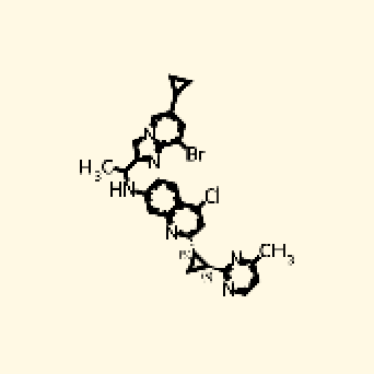 Cc1ccnc([C@H]2C[C@@H]2c2cc(Cl)c3ccc(NC(C)c4cn5cc(C6CC6)cc(Br)c5n4)cc3n2)n1